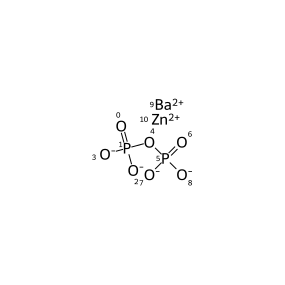 O=P([O-])([O-])OP(=O)([O-])[O-].[Ba+2].[Zn+2]